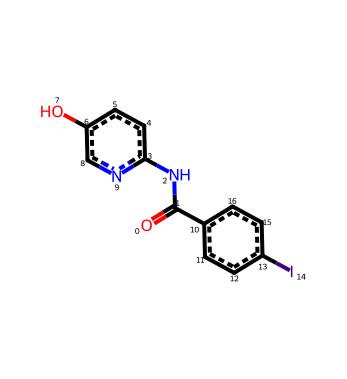 O=C(Nc1ccc(O)cn1)c1ccc(I)cc1